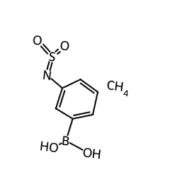 C.O=S(=O)=Nc1cccc(B(O)O)c1